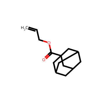 C=CCOC(=O)C12CC3CC(CC(C3)C1)C2